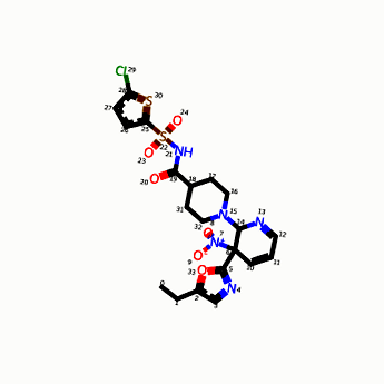 CCc1cnc(C2([N+](=O)[O-])C=CC=NC2N2CCC(C(=O)NS(=O)(=O)c3ccc(Cl)s3)CC2)o1